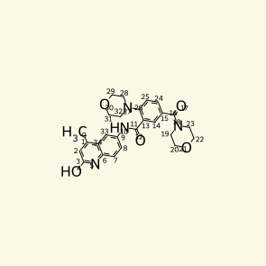 Cc1cc(O)nc2ccc(NC(=O)c3cc(C(=O)N4CCOCC4)ccc3N3CCOCC3)cc12